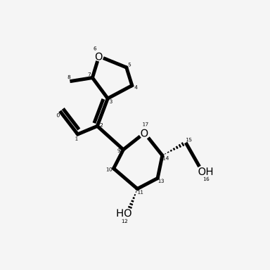 C=C/C(=C1/CCOC1C)C1C[C@@H](O)C[C@@H](CO)O1